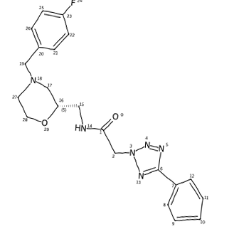 O=C(Cn1nnc(-c2ccccc2)n1)NC[C@H]1CN(Cc2ccc(F)cc2)CCO1